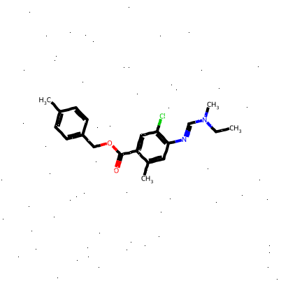 CCN(C)/C=N/c1cc(C)c(C(=O)OCc2ccc(C)cc2)cc1Cl